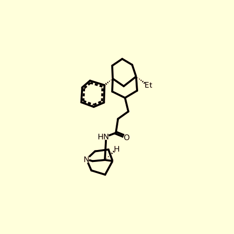 CC[C@]12CCC[C@](c3ccccc3)(CC(CCC(=O)N[C@@H]3CN4CCC3CC4)C1)C2